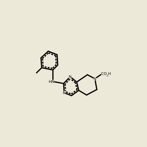 Cc1ccccc1Nc1ncc2c(n1)CN(C(=O)O)CC2